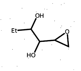 CCC(O)C(O)C1CO1